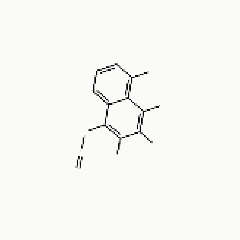 [O]=[Al][O]c1c(F)c(F)c(F)c2c(F)cccc12